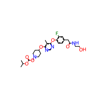 Cc1c(Oc2ccc(CC(=O)NCCO)cc2F)ncnc1OC1CCN(OC(=O)OC(C)C)CC1